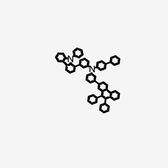 c1ccc(-c2ccc(N(c3cccc(-c4ccc5c(c4)c(-c4ccccc4)c(-c4ccccc4)c4ccccc45)c3)c3cccc(-c4cccc5c6ccccc6n(-c6ccccc6)c45)c3)cc2)cc1